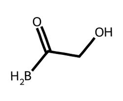 BC(=O)CO